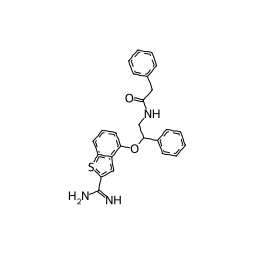 N=C(N)c1cc2c(OC(CNC(=O)Cc3ccccc3)c3ccccc3)cccc2s1